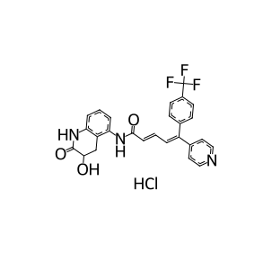 Cl.O=C(/C=C/C=C(/c1ccncc1)c1ccc(C(F)(F)F)cc1)Nc1cccc2c1CC(O)C(=O)N2